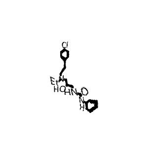 CCN(CCc1ccc(Cl)cc1)CC(O)CNC(=O)Nc1ccccc1